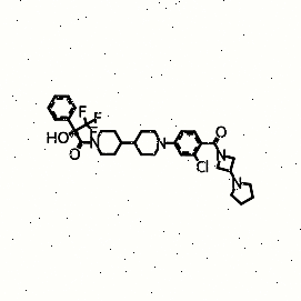 O=C(c1ccc(N2CCC(C3CCN(C(=O)[C@](O)(c4ccccc4)C(F)(F)F)CC3)CC2)cc1Cl)N1CC(N2CCCC2)C1